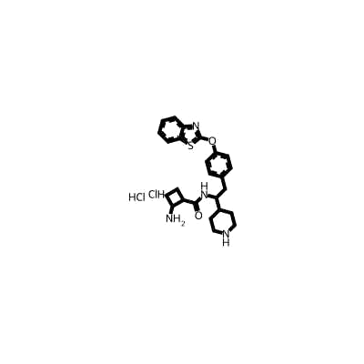 Cl.Cl.NC1CCC1C(=O)NC(Cc1ccc(Oc2nc3ccccc3s2)cc1)C1CCNCC1